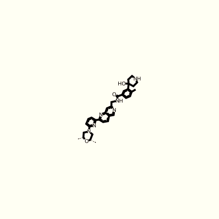 Cc1ccc(C(=O)NCc2cc3nc(-c4cccc(N5C[C@@H](C)O[C@@H](C)C5)n4)ccc3cn2)cc1C1(O)CCNCC1